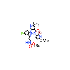 COc1ccc(NC(=O)c2cc(C(F)(F)F)ncc2Nc2ccc(F)cc2CCCNC(=O)OC(C)(C)C)c(Br)n1